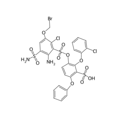 Nc1c(S(N)(=O)=O)cc(OCBr)c(Cl)c1S(=O)(=O)Oc1ccc(Oc2ccccc2)c(S(=O)(=O)O)c1Oc1ccccc1Cl